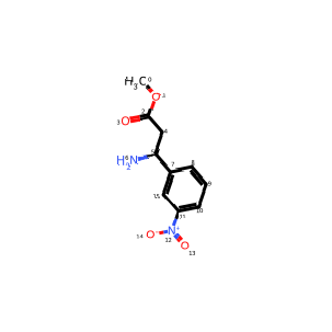 COC(=O)C[C@H](N)c1cccc([N+](=O)[O-])c1